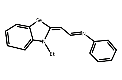 CCN1C(=CC=Nc2ccccc2)[Se]c2ccccc21